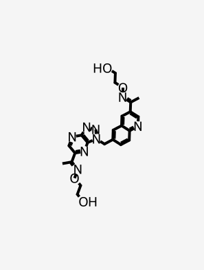 CC(=NOCCO)c1cnc2ccc(Cn3nnc4ncc(C(C)=NOCCO)nc43)cc2c1